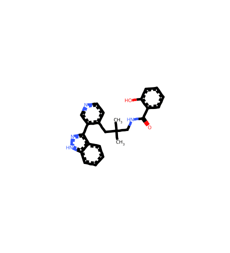 CC(C)(CNC(=O)c1ccccc1O)Cc1ccncc1-c1n[nH]c2ccccc12